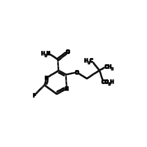 CC(C)(COc1ncc(F)nc1C(N)=O)C(=O)O